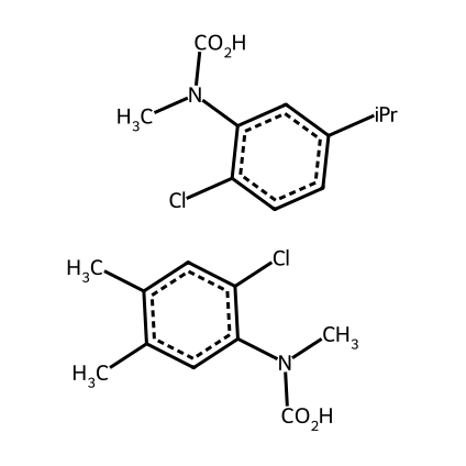 CC(C)c1ccc(Cl)c(N(C)C(=O)O)c1.Cc1cc(Cl)c(N(C)C(=O)O)cc1C